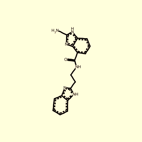 Nc1nc2c(C(=O)NCCc3nc4ccccc4[nH]3)cccc2[nH]1